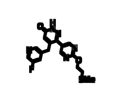 CSCCOc1ncc(-c2n[nH]c(=O)cc2Cc2cncc(F)c2)cn1